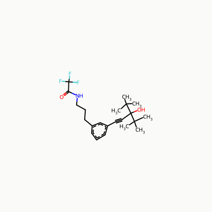 CC(C)(C)C(O)(C#Cc1cccc(CCCNC(=O)C(F)(F)F)c1)C(C)(C)C